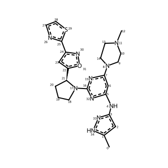 Cc1cc(Nc2cc(N3CCN(C)CC3)nc(N3CCC[C@H]3c3cc(-c4nccs4)no3)n2)n[nH]1